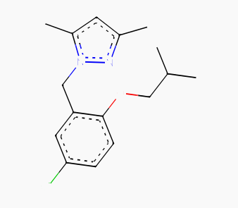 Cc1cc(C)n(Cc2cc(Cl)ccc2OCC(C)C)n1